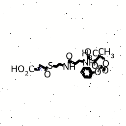 CC1(C)COP(=O)(Oc2ccccc2)O[C@H]1C(=O)NCCC(=O)NCCSC(=O)/C=C/C(=O)O